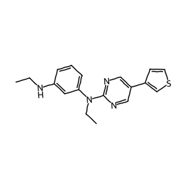 CCNc1cccc(N(CC)c2ncc(-c3ccsc3)cn2)c1